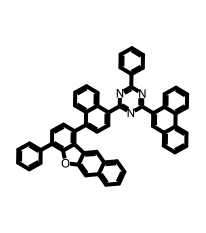 c1ccc(-c2nc(-c3ccc(-c4ccc(-c5ccccc5)c5oc6cc7ccccc7cc6c45)c4ccccc34)nc(-c3cc4ccccc4c4ccccc34)n2)cc1